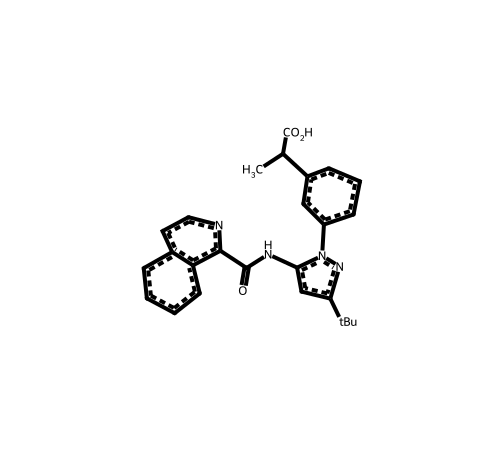 CC(C(=O)O)c1cccc(-n2nc(C(C)(C)C)cc2NC(=O)c2nccc3ccccc23)c1